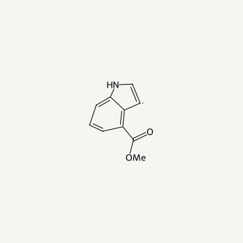 COC(=O)c1cccc2[nH]c[c]c12